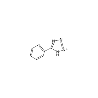 c1ccc(C2=NN=[N+]N2)cc1